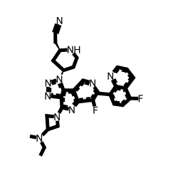 CCN(C)C1CN(c2nc3c(F)c(-c4ccc(F)c5cccnc45)ncc3c3c2nnn3[C@H]2CCN[C@H](CC#N)C2)C1